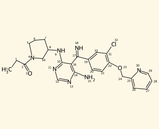 CCC(=O)N1CCCC(Nc2ncnc(N)c2C(=N)c2ccc(OCc3ccccn3)c(Cl)c2)C1